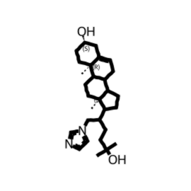 CC(C)(O)CCC(Cn1ccnc1)C1CCC2C3CC=C4C[C@@H](O)CC[C@]4(C)C3CC[C@]12C